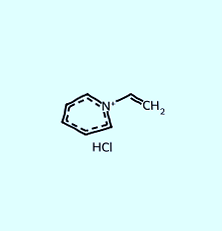 C=C[n+]1ccccc1.Cl